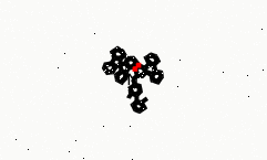 Cc1ccccc1-c1ccc(N(c2ccc3c4ccccc4c4ccccc4c3c2)c2cccc3c2-c2ccccc2C32c3ccccc3-c3ccccc32)cc1C